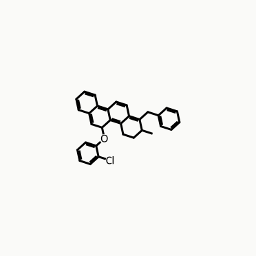 CC1CCc2c3c(ccc2=C1Cc1ccccc1)=c1ccccc1=CC3Oc1ccccc1Cl